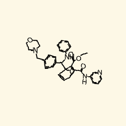 CCOC(=O)C1=C(C(=O)Nc2cccnc2)C2C=CC1(C(Nc1ccccc1)c1ccc(CN3CCOCC3)cc1)O2